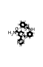 NC(=O)C1CCN(Oc2cccc(Nc3nc4ccccc4s3)c2)C(c2cnccn2)C1